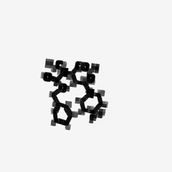 CN(C(=O)OCc1ccccc1)C(CC(=O)N1CCC(F)(F)CC1)C(=O)O